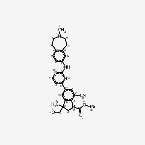 CN1CCc2ccc(Nc3nccc(-c4cc(C#N)c5c(c4)C(C)(CO)CN5C(=O)OC(C)(C)C)n3)cc2CC1